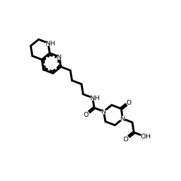 O=C(O)CN1CCN(C(=O)NCCCCc2ccc3c(n2)NCCC3)CC1=O